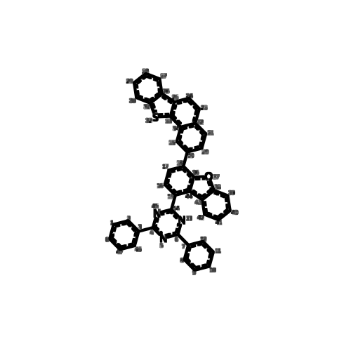 c1ccc(-c2nc(-c3ccccc3)nc(-c3ccc(-c4ccc5ccc6c7ccccc7sc6c5c4)c4oc5ccccc5c34)n2)cc1